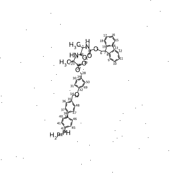 CC(NC(=O)OCC1c2ccccc2-c2ccccc21)C(=O)NC(C)C(=O)OCc1ccc(OCc2ccc(-c3ccc(PP)cc3)cc2)cc1